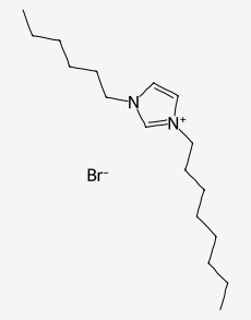 CCCCCCCC[n+]1ccn(CCCCCC)c1.[Br-]